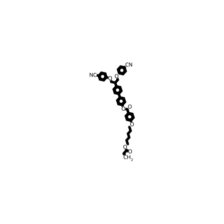 C=CC(=O)OCCCCCCOc1ccc(C(=O)Oc2ccc(-c3ccc(C(COc4ccc(C#N)cc4)COc4ccc(C#N)cc4)cc3)cc2)cc1